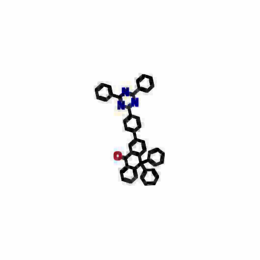 O=C1c2ccccc2C(c2ccccc2)(c2ccccc2)c2ccc(-c3ccc(-c4nc(-c5ccccc5)nc(-c5ccccc5)n4)cc3)cc21